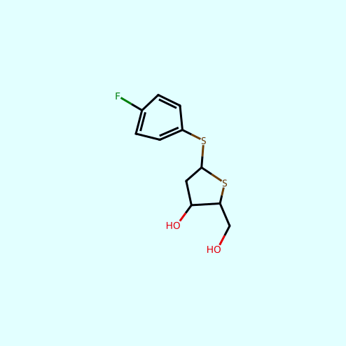 OCC1SC(Sc2ccc(F)cc2)CC1O